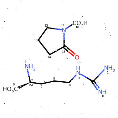 N=C(N)NCCC[C@H](N)C(=O)O.O=C(O)N1CCCC1=O